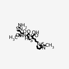 CON=C(C(=O)N[C@@H]1C(=O)N2C(C(=O)O)=C(/C=C/C[n+]3cccc4nc(C)sc43)SC[C@H]12)c1csc(N)n1